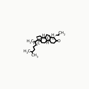 C=CC[C@@H]1C(=O)CC[C@]2(C)[C@H]3CC[C@]4(C)[C@@H]([C@H](C)CCCC(C)C)CC[C@H]4[C@@H]3CC[C@@H]12